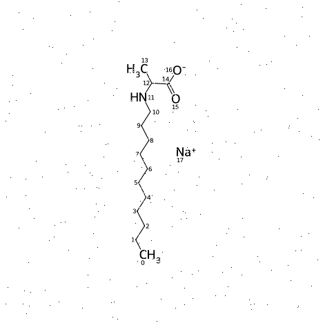 CCCCCCCCCCCNC(C)C(=O)[O-].[Na+]